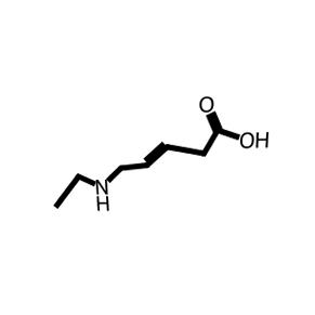 CCNCC=CCC(=O)O